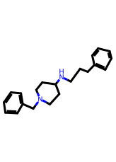 c1ccc(CCCNC2CCN(Cc3ccccc3)CC2)cc1